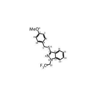 COc1ccc(CSc2nn(CC(F)(F)F)c3ccccc23)cc1